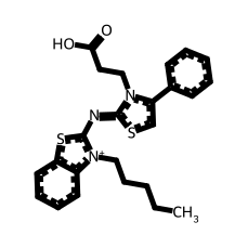 CCCCC[n+]1c(/N=c2\scc(-c3ccccc3)n2CCC(=O)O)sc2ccccc21